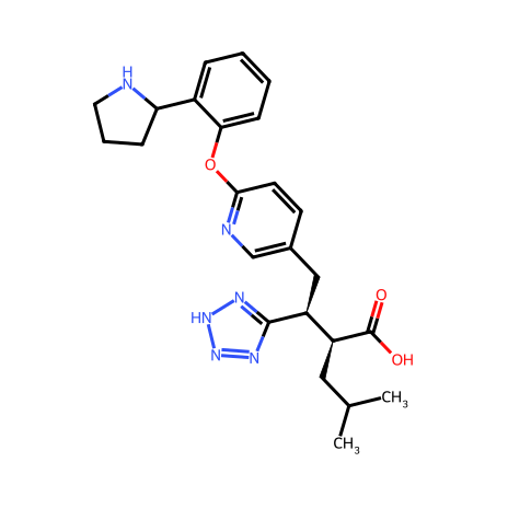 CC(C)C[C@H](C(=O)O)[C@H](Cc1ccc(Oc2ccccc2C2CCCN2)nc1)c1nn[nH]n1